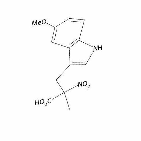 COc1ccc2[nH]cc(CC(C)(C(=O)O)[N+](=O)[O-])c2c1